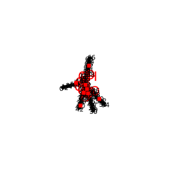 CCCCCCCCC(=O)OCC(CO)(COCC(COC(=O)CCCCCCCC)(COC(=O)CCCCCCCC)COC(=O)CCCCCCCC)COC(=O)CCCCCCCC